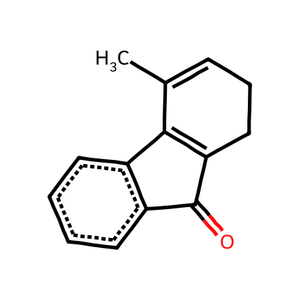 CC1=CCCC2=C1c1ccccc1C2=O